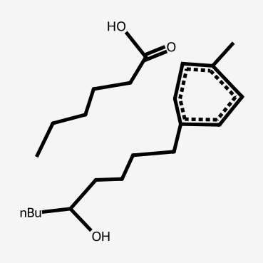 CCCCC(O)CCCCc1ccc(C)cc1.CCCCCC(=O)O